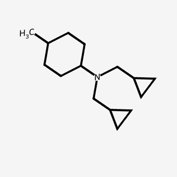 CC1CCC(N(CC2CC2)CC2CC2)CC1